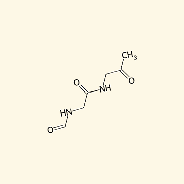 CC(=O)CNC(=O)CNC=O